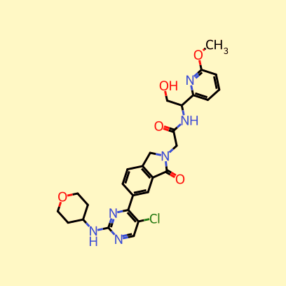 COc1cccc(C(CO)NC(=O)CN2Cc3ccc(-c4nc(NC5CCOCC5)ncc4Cl)cc3C2=O)n1